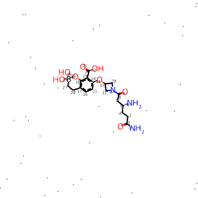 NC(=O)CC[C@H](N)CC(=O)N1CC(Oc2ccc3c(c2C(=O)O)O[B-](O)(O)CC3)C1